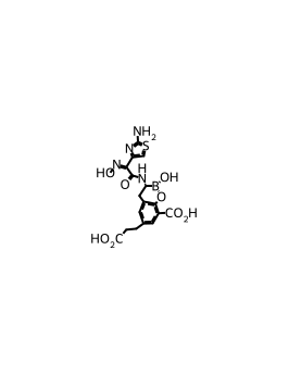 Nc1nc(/C(=N/O)C(=O)N[C@H]2Cc3cc(CCC(=O)O)cc(C(=O)O)c3OB2O)cs1